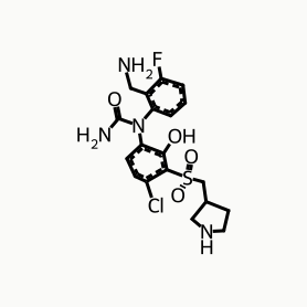 NCc1c(F)cccc1N(C(N)=O)c1ccc(Cl)c(S(=O)(=O)CC2CCNC2)c1O